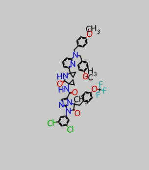 COc1ccc(CN(Cc2ccc(OC)cc2)c2cccc(C3(NC(=O)C4(NC(=O)c5cnc6n5[C@](C)(Cc5ccc(OC(F)(F)F)cc5)C(=O)N6c5cc(Cl)cc(Cl)c5)CC4)CC3)n2)cc1